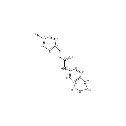 O=C(/C=C/c1ccc(I)cc1)Nc1ccc2c(c1)OCCO2